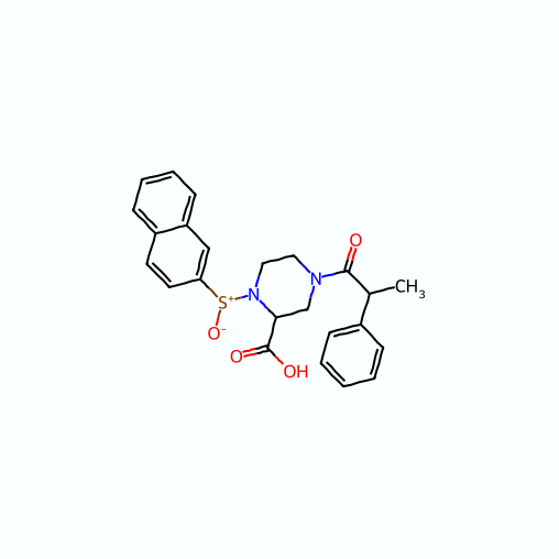 CC(C(=O)N1CCN([S+]([O-])c2ccc3ccccc3c2)C(C(=O)O)C1)c1ccccc1